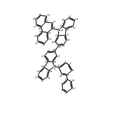 c1ccc(-c2cccc(-n3c4ccccc4c4ccc(-c5ccc6c7ccccc7n(-c7cc8ccccc8c8ccccc78)c6c5)cc43)c2)cc1